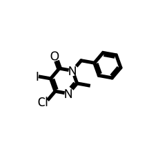 Cc1nc(Cl)c(I)c(=O)n1Cc1ccccc1